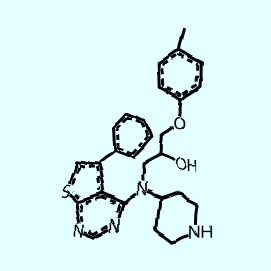 Cc1ccc(OCC(O)CN(c2ncnc3scc(-c4ccccc4)c23)C2CCNCC2)cc1